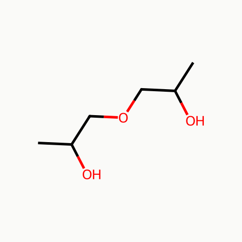 CC(O)COCC(C)O